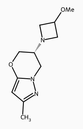 COC1CN([C@H]2COc3cc(C)nn3C2)C1